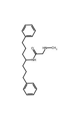 CNCC(=O)NC(CCCc1ccccc1)CCCc1ccccc1